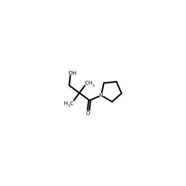 CC(C)(CO)C(=O)N1CCCC1